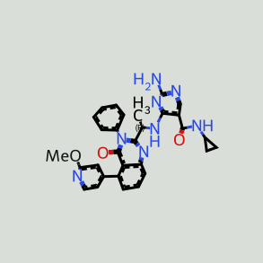 COc1cc(-c2cccc3nc([C@@H](C)Nc4nc(N)ncc4C(=O)NC4CC4)n(-c4ccccc4)c(=O)c23)ccn1